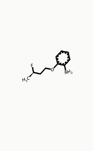 C[C@@H](F)CCOc1ccccc1N